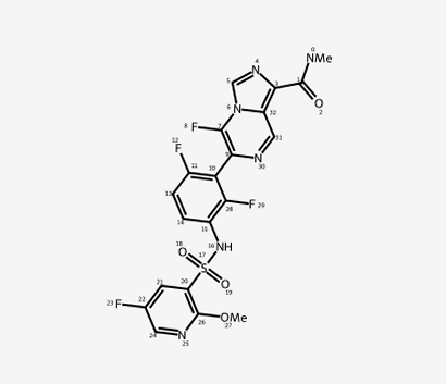 CNC(=O)c1ncn2c(F)c(-c3c(F)ccc(NS(=O)(=O)c4cc(F)cnc4OC)c3F)ncc12